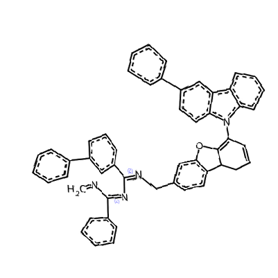 C=N/C(=N\C(=N/Cc1ccc2c(c1)OC1=C(n3c4ccccc4c4cc(-c5ccccc5)ccc43)C=CCC12)c1cccc(-c2ccccc2)c1)c1ccccc1